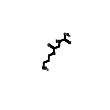 CCCCOC(=O)CNC(C)=O